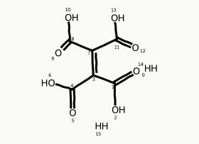 O=C(O)C(C(=O)O)=C(C(=O)O)C(=O)O.[HH].[HH]